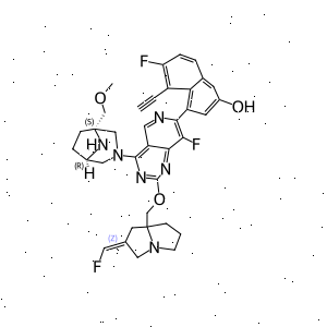 C#Cc1c(F)ccc2cc(O)cc(-c3ncc4c(N5C[C@H]6CC[C@@](COC)(C5)N6)nc(OCC56CCCN5C/C(=C\F)C6)nc4c3F)c12